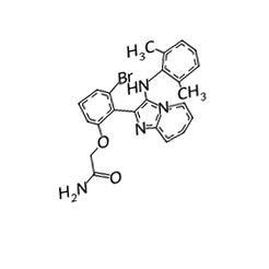 Cc1cccc(C)c1Nc1c(-c2c(Br)cccc2OCC(N)=O)nc2ccccn12